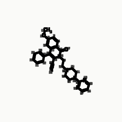 COc1ccc2c(=O)n(CCN3CCN(c4ncccn4)CC3)c(C#N)c(-c3ccccc3)c2c1